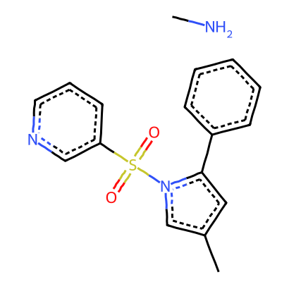 CN.Cc1cc(-c2ccccc2)n(S(=O)(=O)c2cccnc2)c1